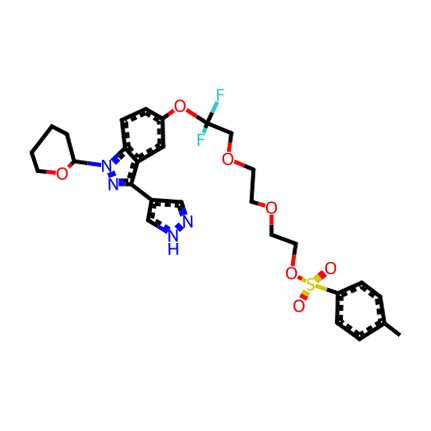 Cc1ccc(S(=O)(=O)OCCOCCOCC(F)(F)Oc2ccc3c(c2)c(-c2cn[nH]c2)nn3C2CCCCO2)cc1